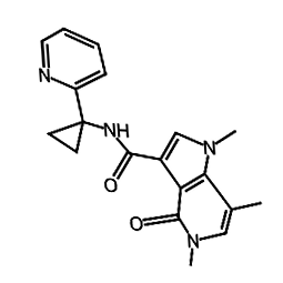 Cc1cn(C)c(=O)c2c(C(=O)NC3(c4ccccn4)CC3)cn(C)c12